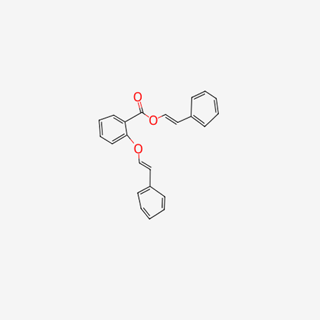 O=C(OC=Cc1ccccc1)c1ccccc1OC=Cc1ccccc1